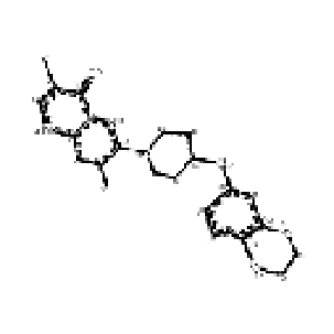 Cc1cc2ncc(C)c(=O)n2nc1N1CCC(Oc2ccc3c(c2)OCCO3)CC1